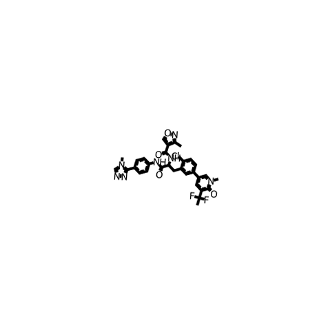 Cc1nocc1C(=O)NC(Cc1cc(-c2cc(C(C)(F)F)c(=O)n(C)c2)ccc1Cl)C(=O)Nc1ccc(-c2nncn2C)cc1